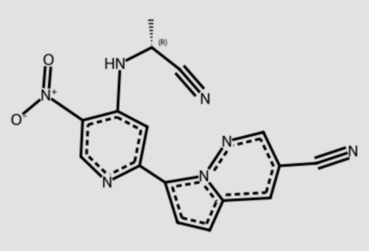 C[C@H](C#N)Nc1cc(-c2ccc3cc(C#N)cnn23)ncc1[N+](=O)[O-]